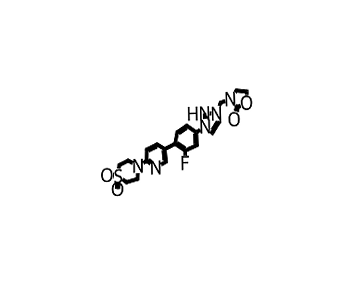 O=C1OCCN1CN1C=CN(c2ccc(-c3ccc(N4CCS(=O)(=O)CC4)nc3)c(F)c2)N1